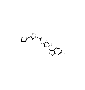 O=C(Nc1cnn(C2CCc3cc(Cl)ccc32)c1)c1cc(-c2ccco2)on1